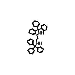 c1ccc(C(NCCCNC(c2ccccc2)(c2ccccc2)c2ccccc2)(c2ccccc2)c2ccccc2)cc1